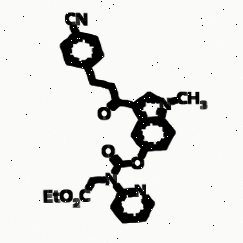 CCOC(=O)CN(C(=O)Oc1ccc2c(c1)c(C(=O)CCc1ccc(C#N)cc1)cn2C)c1ccccn1